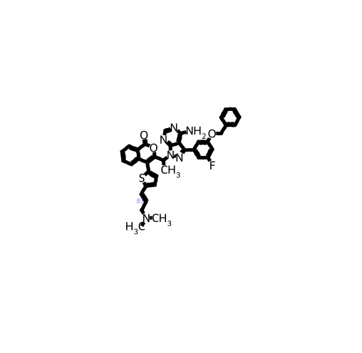 CC(c1oc(=O)c2ccccc2c1-c1ccc(/C=C/CN(C)C)s1)n1nc(-c2cc(F)cc(OCc3ccccc3)c2)c2c(N)ncnc21